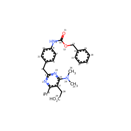 CC(C)c1nc(Cc2ccc(NC(=O)OCc3ccccc3)cc2)nc(N(C)C)c1CC(=O)O